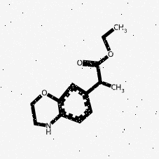 CCOC(=O)C(C)c1ccc2c(c1)OCCN2